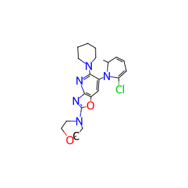 CC1C=CC=C(Cl)N1c1cc2oc(N3CCOCC3)nc2nc1N1CCCCC1